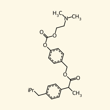 CC(C)Cc1ccc(C(C)C(=O)OCc2ccc(OC(=O)OCCN(C)C)cc2)cc1